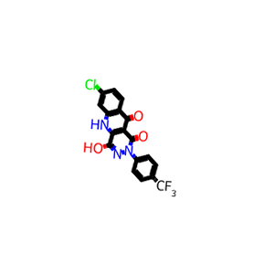 O=c1c2ccc(Cl)cc2[nH]c2c(O)nn(-c3ccc(C(F)(F)F)cc3)c(=O)c12